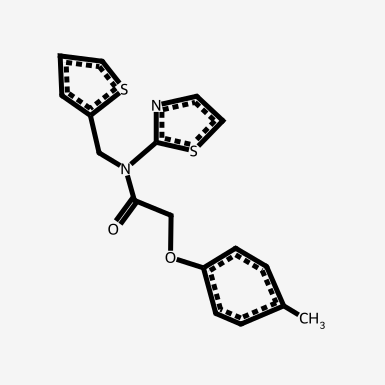 Cc1ccc(OCC(=O)N(Cc2cccs2)c2nccs2)cc1